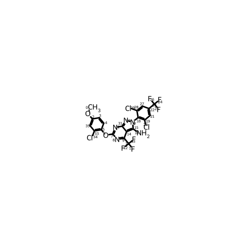 COc1ccc(Oc2nc(C(F)(F)F)c3c(N)n(-c4c(Cl)cc(C(F)(F)F)cc4Cl)nc3n2)c(Cl)c1